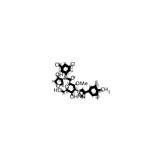 CO[C@@H]1[C@@H](n2cc(-c3cc(F)c(C)c(F)c3)nn2)[C@@H](O)[C@@H](CO)O[C@H]1C(=O)N(c1cc(Cl)cc(Cl)c1)[C@@H]1COC[C@H]1O